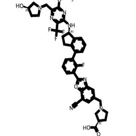 COc1nc(N[C@@H]2CCc3c(-c4cccc(-c5nc6cc(CN7CC[C@@H](C(=O)O)C7)cc(C#N)c6o5)c4F)cccc32)c(C(F)(F)F)nc1CN1CC[C@@H](O)C1